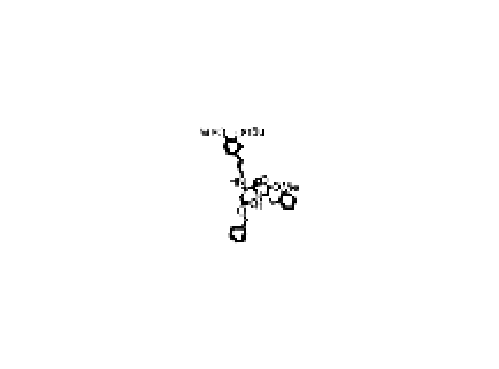 CCCCOc1cc(/C=C/CN[C@H](CC(=O)OCc2ccccc2)C(=O)N[C@H](Cc2ccccc2)C(=O)OC)ccc1OC